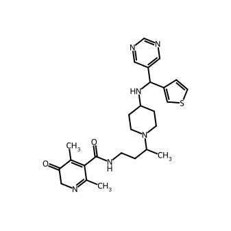 CC1=NCC(=O)C(C)=C1C(=O)NCCC(C)N1CCC(NC(c2cncnc2)c2ccsc2)CC1